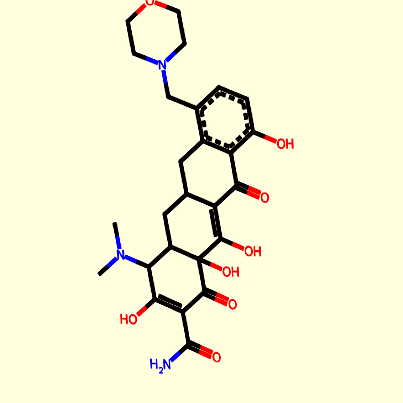 CN(C)C1C(O)=C(C(N)=O)C(=O)C2(O)C(O)=C3C(=O)c4c(O)ccc(CN5CCOCC5)c4CC3CC12